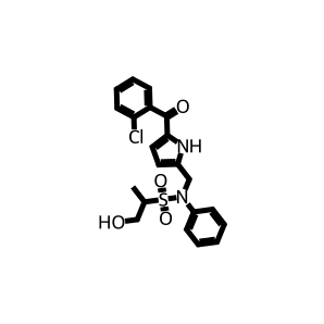 CC(CO)S(=O)(=O)N(Cc1ccc(C(=O)c2ccccc2Cl)[nH]1)c1ccccc1